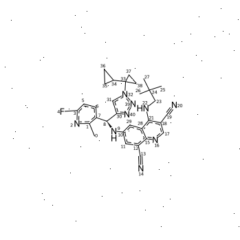 Cc1nc(F)ccc1[C@H](Nc1cc(C#N)c2ncc(C#N)c(NCC(C)(C)C)c2c1)c1cn(C2(C3CC3)CC2)nn1